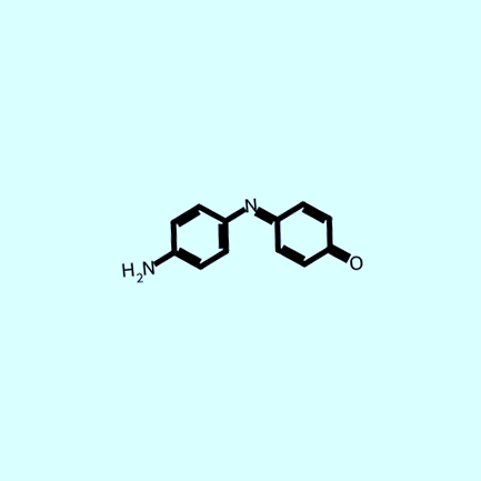 Nc1ccc(N=C2C=CC(=O)C=C2)cc1